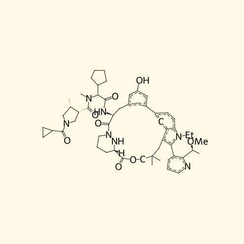 CCn1c(-c2cccnc2[C@H](C)OC)c2c3cc(ccc31)-c1cc(O)cc(c1)C[C@H](NC(=O)C(C1CCCC1)N(C)C(=O)[C@@H]1CN(C(=O)C3CC3)C[C@@H]1C)C(=O)N1CCC[C@H](N1)C(=O)OCC(C)(C)C2